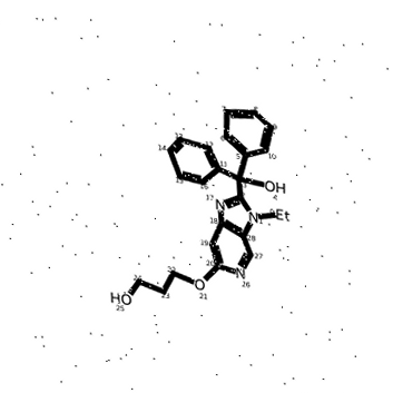 CCn1c(C(O)(c2ccccc2)c2ccccc2)nc2cc(OCCCO)ncc21